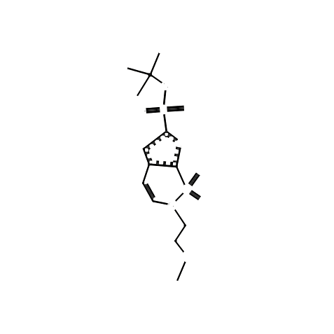 COCCN1C=Cc2cc(S(=O)(=O)NC(C)(C)C)sc2S1(=O)=O